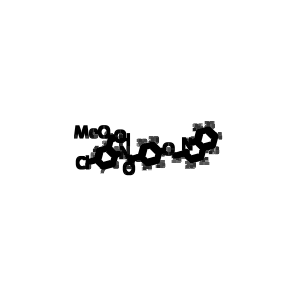 COC(=O)c1cc(Cl)ccc1NC(=O)c1ccc(OCc2ccc3ccccc3n2)cc1